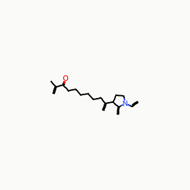 C=CN1CCC(C(=C)CCCCCCC(=O)C(=C)C)C1=C